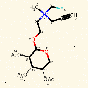 C#CC[N+](C)(CF)CCOC1OC[C@H](OC(C)=O)[C@H](OC(C)=O)[C@H]1OC(C)=O